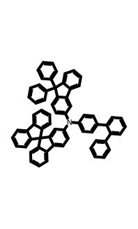 c1ccc(-c2ccccc2-c2ccc(N(c3ccc4c(c3)-c3ccccc3C4(c3ccccc3)c3ccccc3)c3ccc4c(c3)C3(c5ccccc5-c5ccccc53)c3ccccc3-4)cc2)cc1